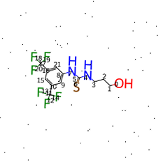 OCCCNC(=S)Nc1cc(C(F)(F)F)cc(C(F)(F)F)c1